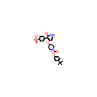 CC(C)(C)c1ccc(OC(=O)N2CCC(Oc3cc[nH]c(=O)c3-c3ccc(S(C)(=O)=O)cc3)CC2)cc1